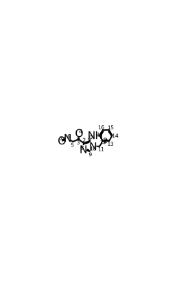 Nc1c(C(=O)CN=O)ncn1Cc1ccccc1